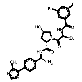 Cc1ncsc1-c1ccc([C@H](C)NC(=O)[C@@H]2C[C@@H](O)CN2C(=O)C(NC(=O)c2cc(F)cc(Br)c2)C(C)(C)C)cc1